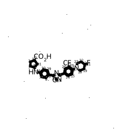 O=C(O)[C@H]1CCC(Nc2ccc(-c3nc(-c4ccc(N5CCC(F)CC5)c(C(F)(F)F)c4)no3)cc2)C1